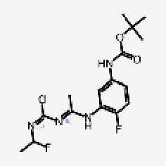 C/C(=N\C(Cl)=N/C(C)F)Nc1cc(NC(=O)OC(C)(C)C)ccc1F